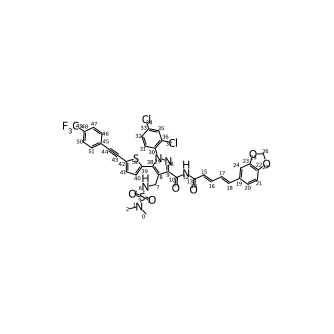 CN(C)S(=O)(=O)NCc1c(C(=O)NC(=O)C=CC=Cc2ccc3c(c2)OCO3)nn(-c2ccc(Cl)cc2Cl)c1-c1ccc(C#Cc2ccc(C(F)(F)F)cc2)s1